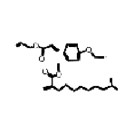 C=C(CCCCCCCC(C)C)C(=O)OC.C=CCOC(=O)C=C.[CH2]COc1ccccc1